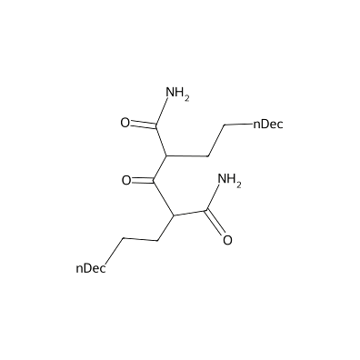 CCCCCCCCCCCCC(C(N)=O)C(=O)C(CCCCCCCCCCCC)C(N)=O